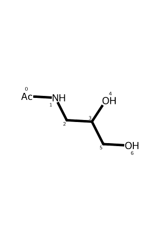 CC(=O)NCC(O)CO